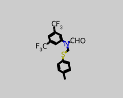 Cc1ccc(SCN(C=O)c2cc(C(F)(F)F)cc(C(F)(F)F)c2)cc1